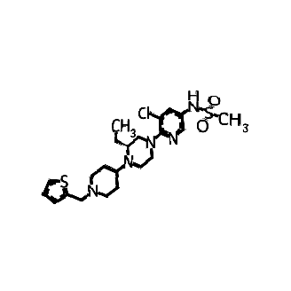 CC[C@H]1CN(c2ncc(NS(C)(=O)=O)cc2Cl)CCN1C1CCN(Cc2cccs2)CC1